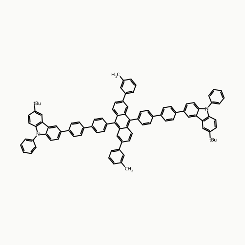 Cc1cccc(-c2ccc3c(-c4ccc(-c5ccc(-c6ccc7c(c6)c6cc(C(C)(C)C)ccc6n7-c6ccccc6)cc5)cc4)c4cc(-c5cccc(C)c5)ccc4c(-c4ccc(-c5ccc(-c6ccc7c(c6)c6cc(C(C)(C)C)ccc6n7-c6ccccc6)cc5)cc4)c3c2)c1